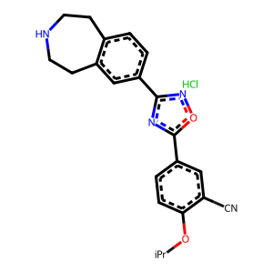 CC(C)Oc1ccc(-c2nc(-c3ccc4c(c3)CCNCC4)no2)cc1C#N.Cl